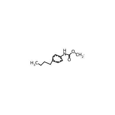 [CH2]OC(=O)Nc1ccc(CCCC)cc1